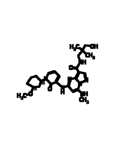 CNc1cc(Nc2cccn([C@@H]3CCC[C@H](OC)C3)c2=O)nc2c(C(=O)NCC(C)(C)CO)cnn12